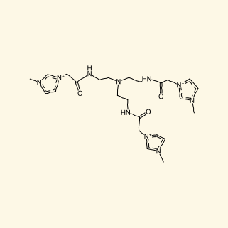 Cn1cc[n+](CC(=O)NCCN(CCNC(=O)C[n+]2ccn(C)c2)CCNC(=O)C[n+]2ccn(C)c2)c1